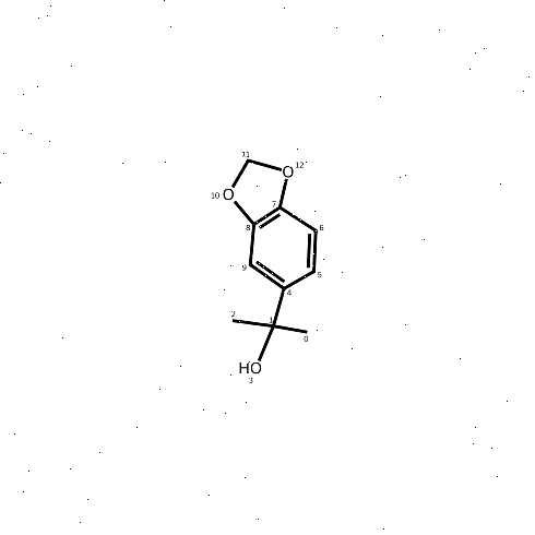 CC(C)(O)c1ccc2c(c1)OCO2